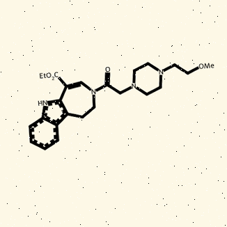 CCOC(=O)C1=CN(C(=O)CN2CCN(CCOC)CC2)CCc2c1[nH]c1ccccc21